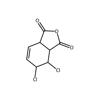 O=C1OC(=O)C2C1C=CC(Cl)C2Cl